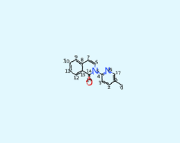 Cc1ccc(-n2ccc3ccccc3c2=O)nc1